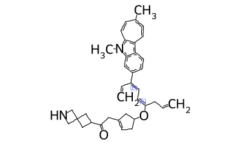 C=CC/C(=C\C=C(/C=C)c1ccc2c3c(n(C)c2c1)C=CC(C)=C=C3)OC1CC=C(CC(=O)C2CC3(CNC3)C2)C1